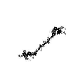 Cc1cc(Cl)cc2c1CN(C)CC2c1cccc(S(=O)(=O)N[C@@H]2CCN(CCOCCNC(=O)NCCCCNC(=O)NCCOCCN3CC[C@@H](NS(=O)(=O)c4cccc(C5CN(C)Cc6c(C)cc(Cl)cc65)c4)C3)C2)c1